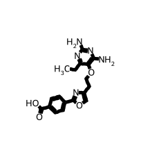 CCc1nc(N)nc(N)c1OCCc1coc(-c2ccc(C(=O)O)cc2)n1